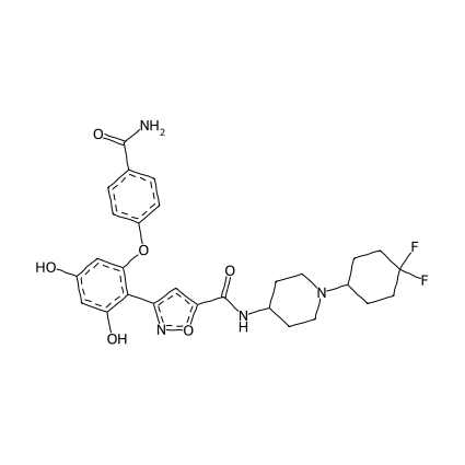 NC(=O)c1ccc(Oc2cc(O)cc(O)c2-c2cc(C(=O)NC3CCN(C4CCC(F)(F)CC4)CC3)on2)cc1